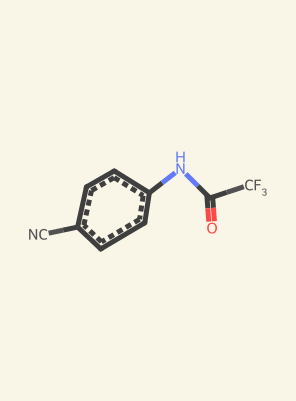 N#Cc1ccc(NC(=O)C(F)(F)F)cc1